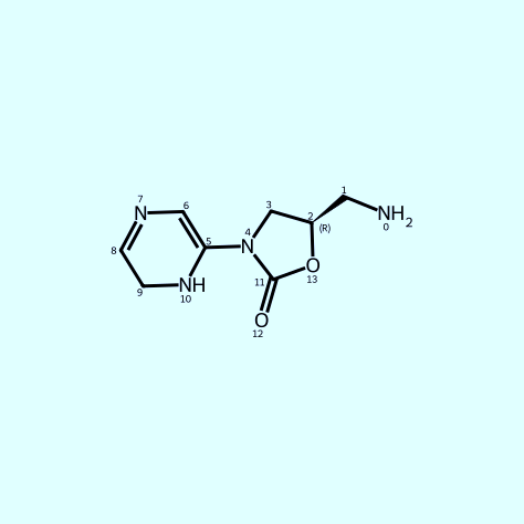 NC[C@@H]1CN(C2=CN=CCN2)C(=O)O1